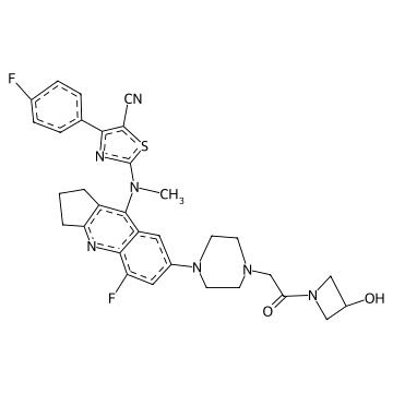 CN(c1nc(-c2ccc(F)cc2)c(C#N)s1)c1c2c(nc3c(F)cc(N4CCN(CC(=O)N5CC(O)C5)CC4)cc13)CCC2